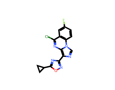 Fc1ccc2c(c1)c(Cl)nc1c(-c3noc(C4CC4)n3)ncn12